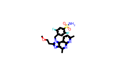 COCCc1nc2c(C)nc3nc(C)ccc3c2n1Cc1cc(F)c(S(N)(=O)=O)cc1F